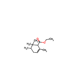 CCOC(=O)C1C(C)=CCC(C)C1(C)C